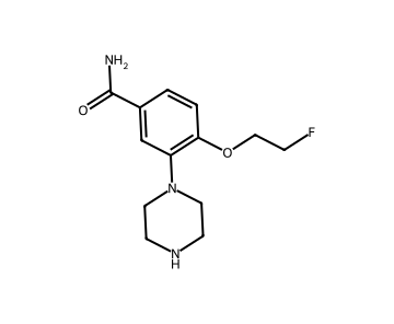 NC(=O)c1ccc(OCCF)c(N2CCNCC2)c1